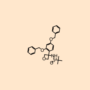 CC(C)(C)[S+]([O-])NC1(c2ccc(OCc3ccccc3)cc2OCc2ccccc2)COC1